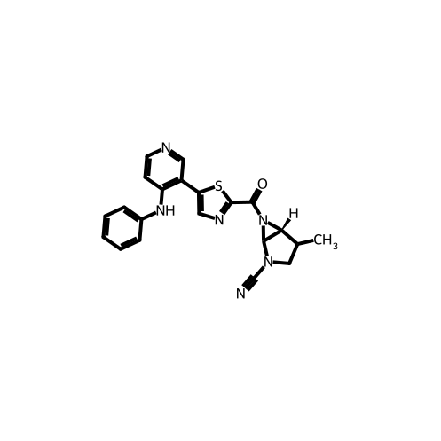 CC1CN(C#N)C2[C@@H]1N2C(=O)c1ncc(-c2cnccc2Nc2ccccc2)s1